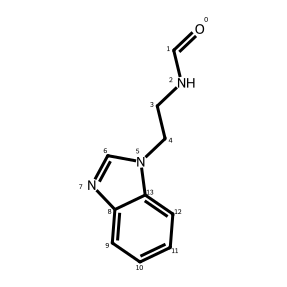 O=CNCCn1cnc2ccccc21